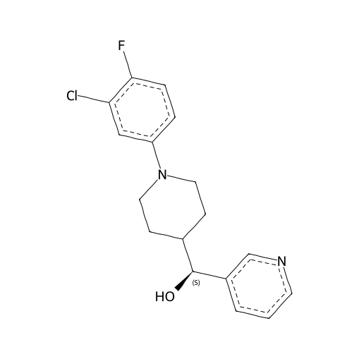 O[C@H](c1cccnc1)C1CCN(c2ccc(F)c(Cl)c2)CC1